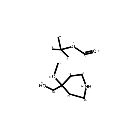 CC(C)(C)OC=O.COC1(CO)CCNCC1